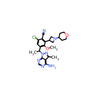 COc1c(C(C)n2nc(C)c3c(N)ncnc32)cc(Cl)c(C#N)c1C1CN(C2CCOCC2)C1